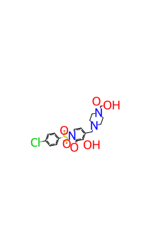 O=C(O)N1CCN(Cc2ccn(S(=O)(=O)c3ccc(Cl)cc3)c(=O)c2O)CC1